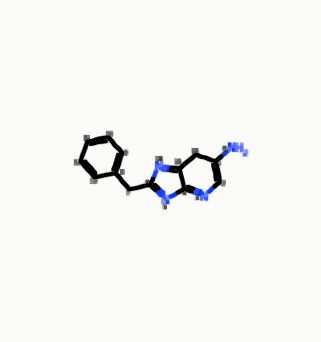 NC1=CN=C2N=C(Cc3ccccc3)N=C2C1